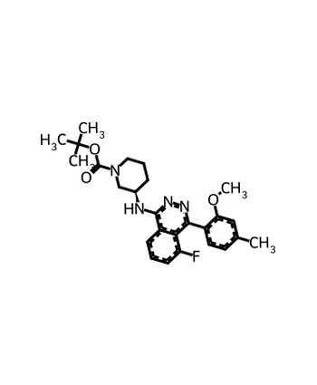 COc1cc(C)ccc1-c1nnc(N[C@@H]2CCCN(C(=O)OC(C)(C)C)C2)c2cccc(F)c12